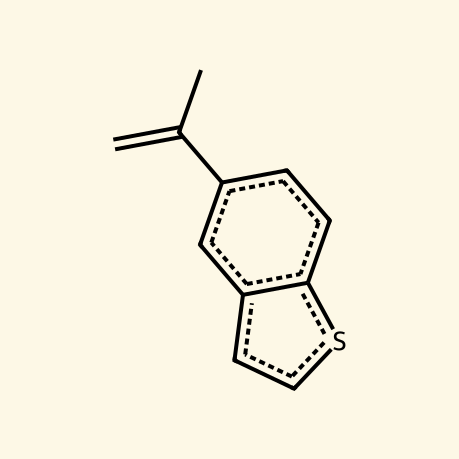 C=C(C)c1ccc2sccc2c1